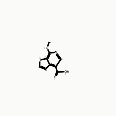 COc1ncc(C(=O)O)c2ccoc12